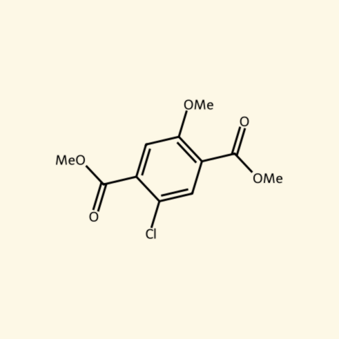 COC(=O)c1cc(OC)c(C(=O)OC)cc1Cl